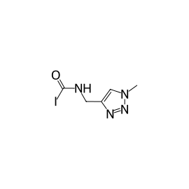 Cn1cc(CNC(=O)I)nn1